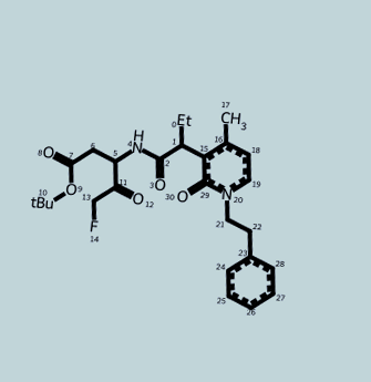 CCC(C(=O)NC(CC(=O)OC(C)(C)C)C(=O)CF)c1c(C)ccn(CCc2ccccc2)c1=O